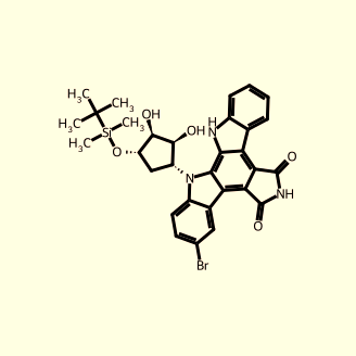 CC(C)(C)[Si](C)(C)O[C@H]1C[C@@H](n2c3ccc(Br)cc3c3c4c(c5c6ccccc6[nH]c5c32)C(=O)NC4=O)[C@H](O)[C@@H]1O